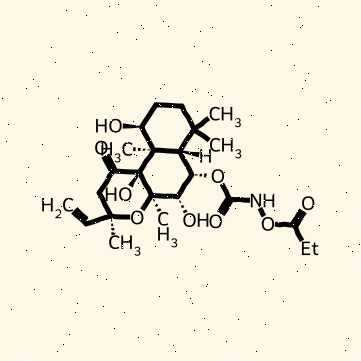 C=C[C@@]1(C)CC(=O)[C@]2(O)[C@@]3(C)[C@@H](O)CCC(C)(C)[C@@H]3[C@H](OC(=O)NOC(=O)CC)[C@H](O)[C@@]2(C)O1